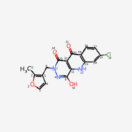 Cc1occc1Cn1nc(O)c2[nH]c3cc(Cl)ccc3c(=O)c2c1=O